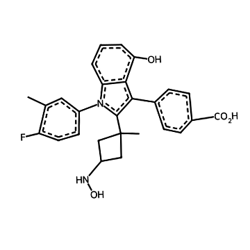 Cc1cc(-n2c(C3(C)CC(NO)C3)c(-c3ccc(C(=O)O)cc3)c3c(O)cccc32)ccc1F